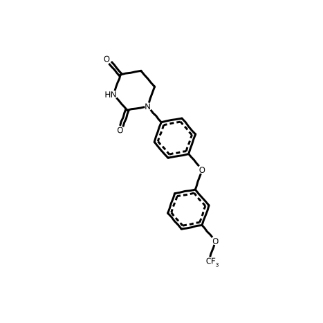 O=C1CCN(c2ccc(Oc3cccc(OC(F)(F)F)c3)cc2)C(=O)N1